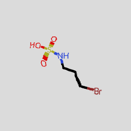 O=S(=O)(O)NCCCBr